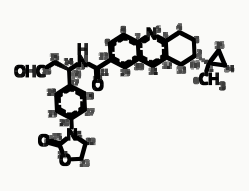 CC1([C@H]2CCc3nc4ccc(C(=O)N[C@H](CC=O)c5ccc(N6CCOC6=O)cc5)cc4cc3C2)CC1